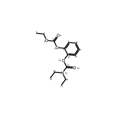 CCOC(=O)OC1=CC=C=C=C1OC(=O)N(CC)CC